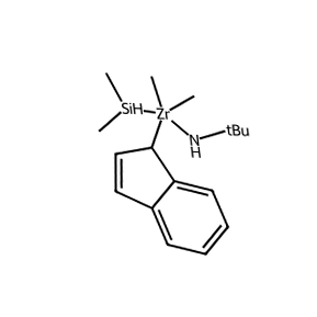 C[SiH](C)[Zr]([CH3])([CH3])([NH]C(C)(C)C)[CH]1C=Cc2ccccc21